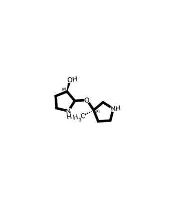 C[C@@]1(OC2NCC[C@H]2O)CCNC1